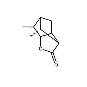 CC1C2OC(=O)C3C2CC1[C@H]3C